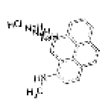 CNc1ccc2ccc3cccc4ccc1c2c34.Cl.[NaH].[NaH].[NaH]